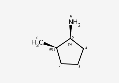 C[C@@H]1CCC[C@@H]1N